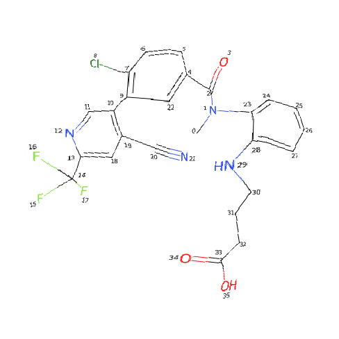 CN(C(=O)c1ccc(Cl)c(-c2cnc(C(F)(F)F)cc2C#N)c1)c1ccccc1NCCCC(=O)O